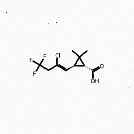 CC1(C)[C@H](/C=C(\Cl)CC(F)(F)F)[C@H]1C(=O)O